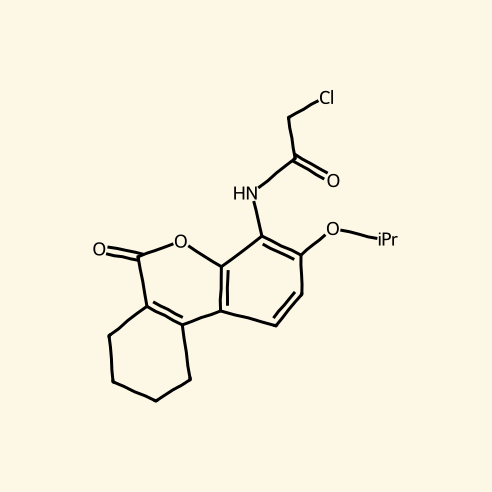 CC(C)Oc1ccc2c3c(c(=O)oc2c1NC(=O)CCl)CCCC3